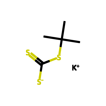 CC(C)(C)SC(=S)[S-].[K+]